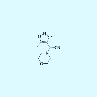 Cc1noc(C)c1C(C#N)N1CCOCC1